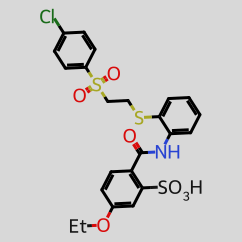 CCOc1ccc(C(=O)Nc2ccccc2SCCS(=O)(=O)c2ccc(Cl)cc2)c(S(=O)(=O)O)c1